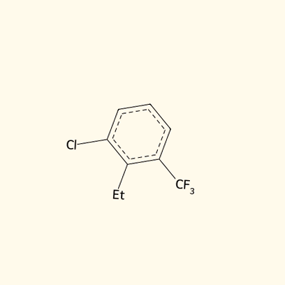 CCc1c(Cl)cccc1C(F)(F)F